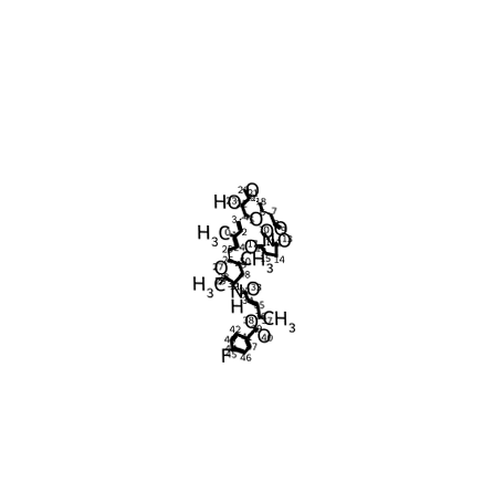 CC(/C=C/[C@H]1O[C@H](CC(=O)ON2C(=O)CCC2=O)C[C@@]2(CO2)[C@@H]1O)=C\C[C@@H]1O[C@H](C)[C@H](NC(=O)C=CC(C)OC(=O)c2ccc(F)cc2)C[C@@H]1C